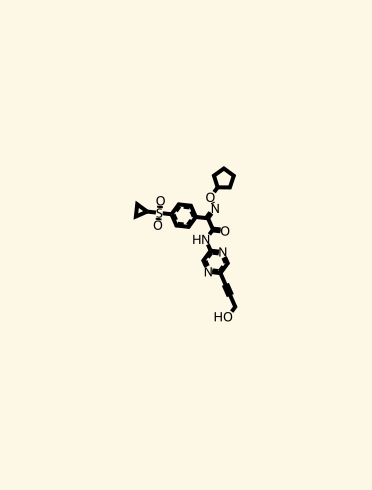 O=C(Nc1cnc(C#CCO)cn1)/C(=N/OC1CCCC1)c1ccc(S(=O)(=O)C2CC2)cc1